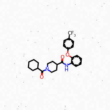 O=C(Nc1ccccc1Oc1ccc(C(F)(F)F)cc1)C1CCN(C(=O)C2CCCCC2)CC1